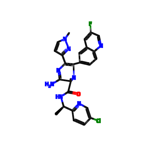 C[C@@H](NC(=O)c1nc(-c2ccc3ncc(F)cc3c2)c(-c2ccn(C)n2)nc1N)c1ccc(Cl)cn1